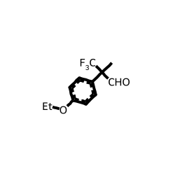 CCOc1ccc(C(C)(C=O)C(F)(F)F)cc1